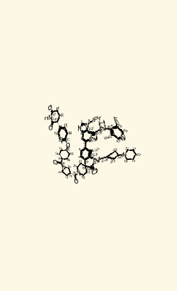 CC(C)n1cnc2cc(-c3ccc4c(c3)N(C3CC(N5CCCCC5)C3)C(=O)C43CCN(C(=O)[C@@H]4CCN(C(=O)C5CCC(Oc6ccc([C@H]7CCC(=O)NC7=O)cn6)CC5)C4)CC3)nc(Nc3ccncc3F)c21